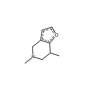 CC1CN(C)Cc2ccoc21